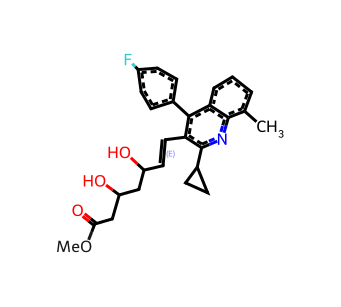 COC(=O)CC(O)CC(O)/C=C/c1c(C2CC2)nc2c(C)cccc2c1-c1ccc(F)cc1